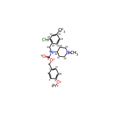 CC(C)Oc1ccc(COC(=O)N(Cc2ccc(C(F)(F)F)cc2Cl)C2CCN(C)CC2)cc1